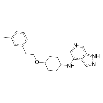 Cc1cccc(CCOC2CCC(Nc3cncc4[nH]ncc34)CC2)c1